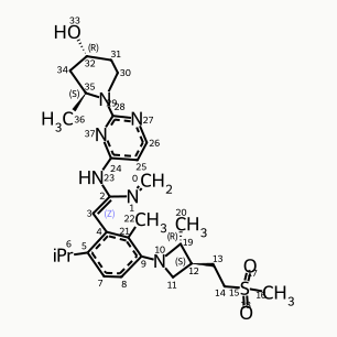 C=N/C(=C\c1c(C(C)C)ccc(N2C[C@H](CCS(C)(=O)=O)[C@H]2C)c1C)Nc1ccnc(N2CC[C@@H](O)C[C@@H]2C)n1